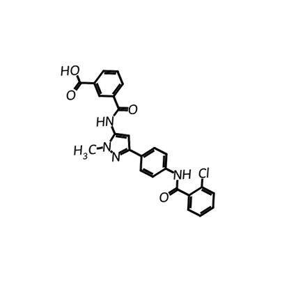 Cn1nc(-c2ccc(NC(=O)c3ccccc3Cl)cc2)cc1NC(=O)c1cccc(C(=O)O)c1